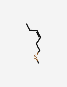 CC/C=C\CCSC